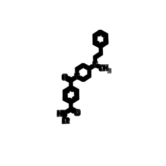 CCNC(=O)c1ccc(C(=O)N2CCC(N(C)CCc3ccccc3)CC2)cc1